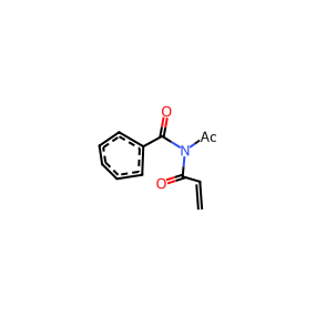 C=CC(=O)N(C(C)=O)C(=O)c1ccccc1